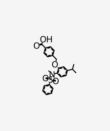 CC(C)c1ccc(N(C)S(=O)(=O)c2ccccc2)c(OCc2ccc(C(=O)O)cc2)c1